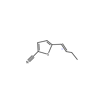 CC/C=C/c1ccc(C#N)s1